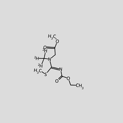 [2H]C([2H])([2H])N(CC(=O)OC)/C(=N/C(=O)OCC)SC